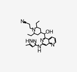 CCC1CC(C(O)c2nc(Nc3cc(C)[nH]n3)cc3ncccc23)CC(CC)N1CCC#N